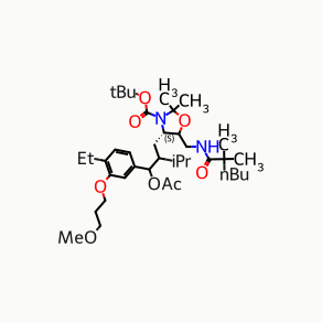 CCCCC(C)(C)C(=O)NCC1OC(C)(C)N(C(=O)OC(C)(C)C)[C@H]1CC(C(C)C)C(OC(C)=O)c1ccc(CC)c(OCCCOC)c1